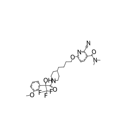 COc1cccc([C@](O)(C(=O)N2CCC(CCCCOc3ccc(C(=O)N(C)C)c(C#N)n3)CC2)C(F)(F)F)c1